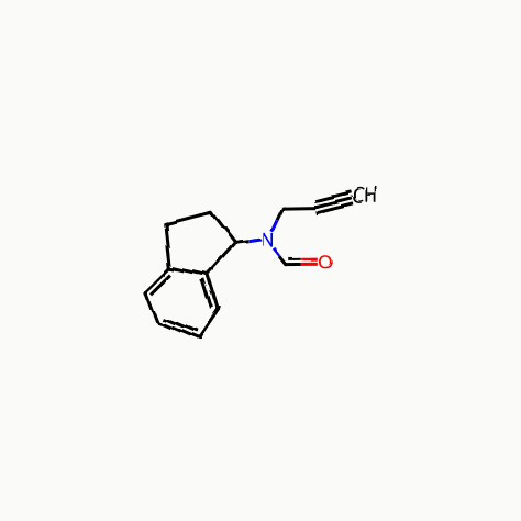 C#CCN(C=O)C1CCc2ccccc21